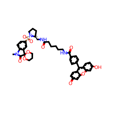 CN1C(=O)C2(OCCCO2)c2cc(S(=O)(=O)N3CCC[C@H]3CNC(=O)CCCCCNC(=O)c3ccc(-c4c5ccc(=O)cc-5oc5cc(O)ccc45)cc3)ccc21